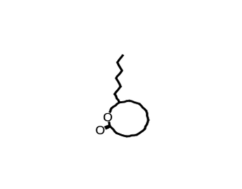 CCCCCCC1CCCCCCCCC(=O)OC1